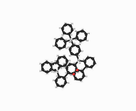 c1ccc(-c2ccccc2N(c2ccc(-c3ccccc3-n3c4ccccc4c4ccccc43)cc2)c2ccc([Si](c3ccccc3)(c3ccccc3)c3ccccc3)cc2)cc1